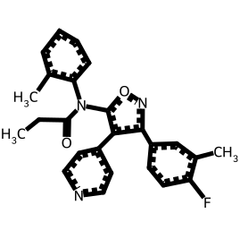 CCC(=O)N(c1ccccc1C)c1onc(-c2ccc(F)c(C)c2)c1-c1ccncc1